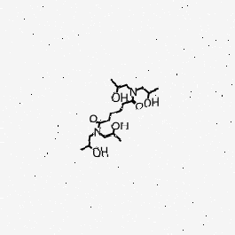 CC(O)CN(CC(C)O)C(=O)CCCCC(=O)N(CC(C)O)CC(C)O